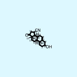 C[C@]12CCC(O)CC1=CC[C@@H]1[C@H]2CC[C@]2(C)C(=O)CC(C#N)[C@@H]12